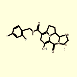 C[C@H]1CNC2C3CCC4=C(C(=O)NCc5ccc(F)cc5F)CC(O)=C(C(=O)N21)N43